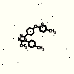 Cc1ccc(-n2c(C)nnc2C2CCC(Oc3ccc(C)cn3)CC2)cc1